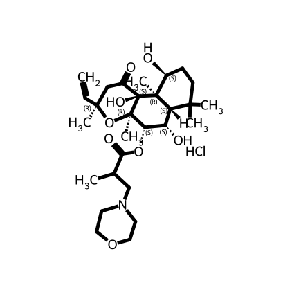 C=C[C@@]1(C)CC(=O)[C@]2(O)[C@@]3(C)[C@@H](O)CCC(C)(C)[C@@H]3[C@H](O)[C@H](OC(=O)C(C)CN3CCOCC3)[C@@]2(C)O1.Cl